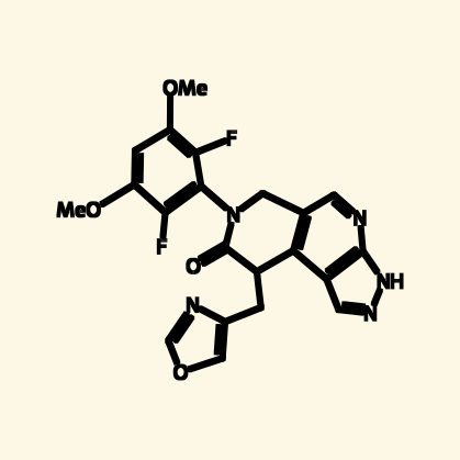 COc1cc(OC)c(F)c(N2Cc3cnc4[nH]ncc4c3C(Cc3cocn3)C2=O)c1F